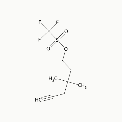 C#CCC(C)(C)CCOS(=O)(=O)C(F)(F)F